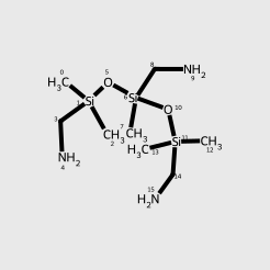 C[Si](C)(CN)O[Si](C)(CN)O[Si](C)(C)CN